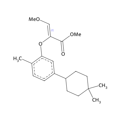 CO/C=C(\Oc1cc(C2CCC(C)(C)CC2)ccc1C)C(=O)OC